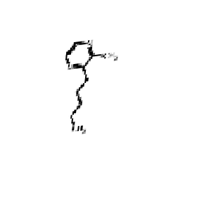 CCCCCc1nccnc1C